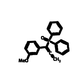 C=C=C(c1cccc(OC)c1)P(=O)(c1ccccc1)c1ccccc1